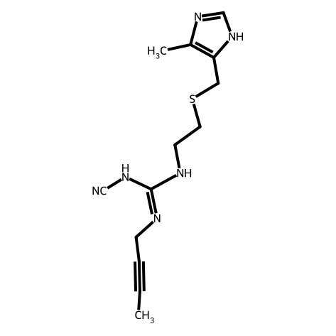 CC#CC/N=C(\NC#N)NCCSCc1[nH]cnc1C